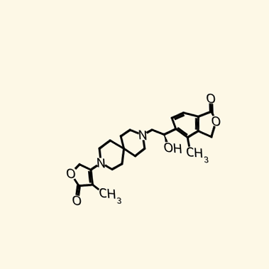 CC1=C(N2CCC3(CCN(C[C@H](O)c4ccc5c(c4C)COC5=O)CC3)CC2)COC1=O